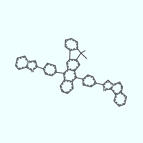 CC1(C)c2ccccc2-c2cc3c(-c4ccc(-c5cn6ccccc6n5)cc4)c4ccccc4c(-c4ccc(-c5cn6ccc7ccccc7c6n5)cc4)c3cc21